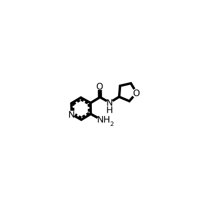 Nc1cnccc1C(=O)NC1CCOC1